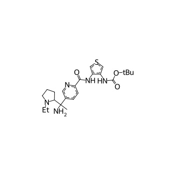 CCN1CCCC1C(C)(N)c1ccc(C(=O)Nc2cscc2NC(=O)OC(C)(C)C)nc1